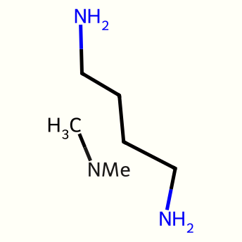 CNC.NCCCCN